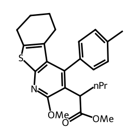 CCCC(C(=O)OC)c1c(OC)nc2sc3c(c2c1-c1ccc(C)cc1)CCCC3